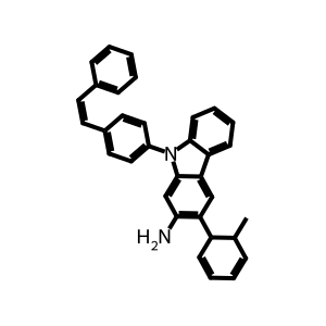 CC1C=CC=CC1c1cc2c3ccccc3n(-c3ccc(/C=C\c4ccccc4)cc3)c2cc1N